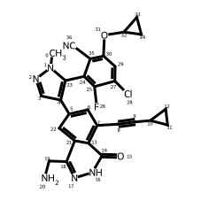 Cn1ncc(-c2cc(C#CC3CC3)c3c(=O)[nH]nc(CN)c3c2)c1-c1c(F)c(Cl)cc(OC2CC2)c1C#N